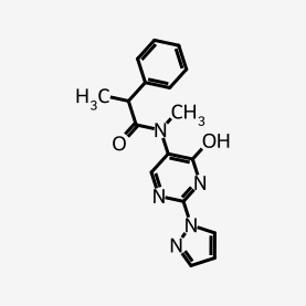 CC(C(=O)N(C)c1cnc(-n2cccn2)nc1O)c1ccccc1